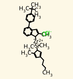 CCCCC1=CC([Si](C)(C)[Zr+2][CH]2C(C)=Cc3c(-c4ccc(C(C)(C)C)cc4)cccc32)C(C)=C1.[Cl-].[Cl-]